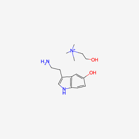 C[N+](C)(C)CCO.NCCc1c[nH]c2ccc(O)cc12